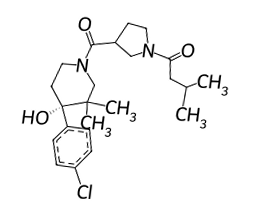 CC(C)CC(=O)N1CCC(C(=O)N2CC[C@](O)(c3ccc(Cl)cc3)C(C)(C)C2)C1